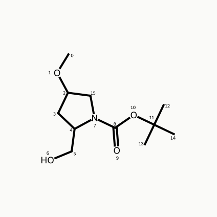 COC1CC(CO)N(C(=O)OC(C)(C)C)C1